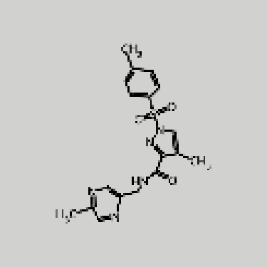 Cc1ccc(S(=O)(=O)n2cc(C)c(C(=O)NCc3cnc(C)cn3)n2)cc1